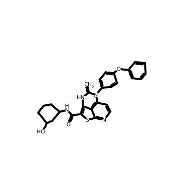 C=c1[nH]c2c(C(=O)NC3CCCC(O)C3)sc3nccc(c32)n1-c1ccc(Oc2ccccc2)cc1